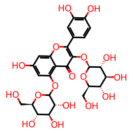 O=c1c(O[C@@H]2O[C@H](CO)[C@@H](O)[C@H](O)[C@H]2O)c(-c2ccc(O)c(O)c2)oc2cc(O)cc(OC3O[C@H](CO)[C@@H](O)[C@H](O)[C@H]3O)c12